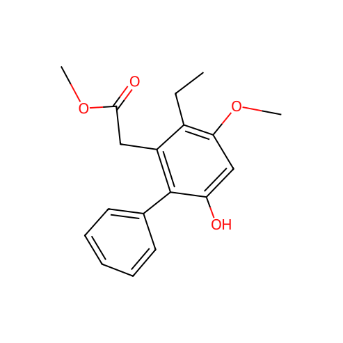 CCc1c(OC)cc(O)c(-c2ccccc2)c1CC(=O)OC